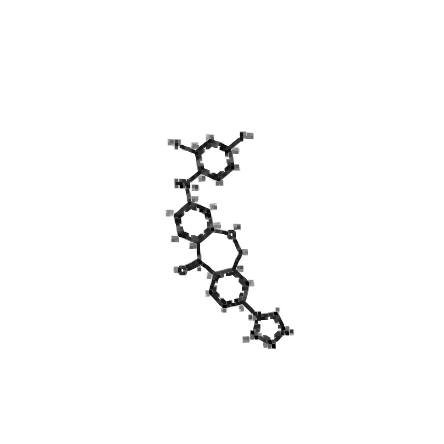 O=C1c2ccc(-n3cnnn3)cc2COc2cc(Nc3ccc(F)cc3F)ccc21